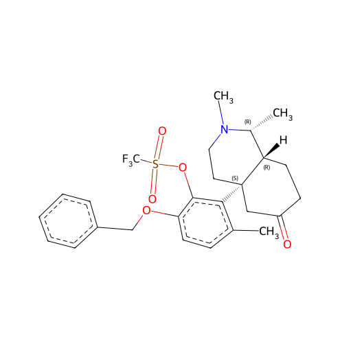 Cc1ccc(OCc2ccccc2)c(OS(=O)(=O)C(F)(F)F)c1[C@]12CCN(C)[C@H](C)[C@@H]1CCC(=O)C2